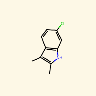 Cc1[nH]c2cc(Cl)ccc2c1C